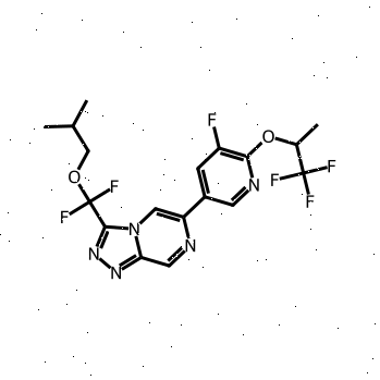 CC(C)COC(F)(F)c1nnc2cnc(-c3cnc(OC(C)C(F)(F)F)c(F)c3)cn12